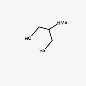 CNC(CO)CS